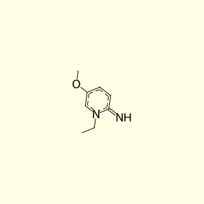 CCn1cc(OC)ccc1=N